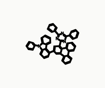 c1ccc(-c2nc(-c3ccccc3)nc(-c3cc(-c4cccc5c4c4ccccc4n5-c4ccccc4)cc4c5ccccc5c5ccccc5c34)n2)cc1